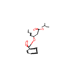 CCC=CC(CC(=O)OCC(C)C)OC(=O)c1ccccc1